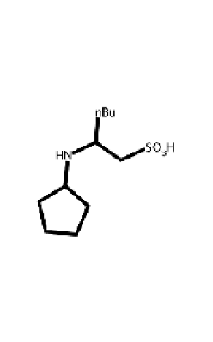 CCCCC(CS(=O)(=O)O)NC1CCCC1